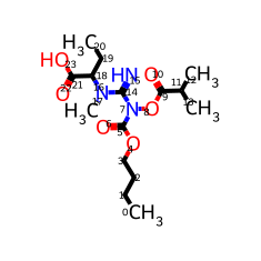 CCCCOC(=O)N(OC(=O)C(C)C)C(=N)N(C)C(CC)C(=O)O